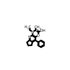 CCN(CC)c1nc2c(c(-c3ccccc3)c1OC(=O)O)CCC2